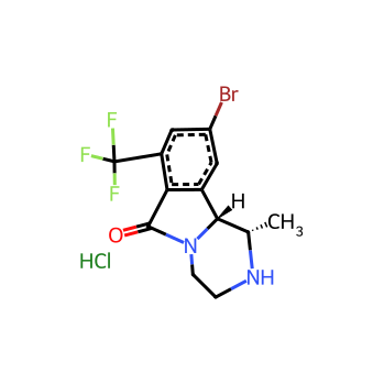 C[C@@H]1NCCN2C(=O)c3c(cc(Br)cc3C(F)(F)F)[C@H]12.Cl